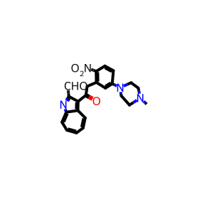 CN1CCN(c2ccc([N+](=O)[O-])c(CC(=O)c3c4cccccc-4nc3C=O)c2)CC1